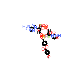 COc1ccc(C(=O)Oc2ccc(CS[P@@]3(=O)OC[C@H]4O[C@@H](n5cnc6c(N)ncnc65)[C@H](F)[C@@H]4OP(=O)(O)OC[C@H]4O[C@@H](n5ccc(=O)[nH]c5=O)[C@H](F)[C@@H]4O3)cc2)cc1